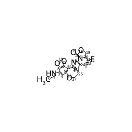 CCNc1cc2c(c3c1OCO3)-c1nc(N3C(=O)OCC3C(F)F)cn1CCO2